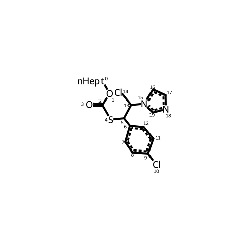 CCCCCCCOC(=O)SC(c1ccc(Cl)cc1)C(Cl)n1ccnc1